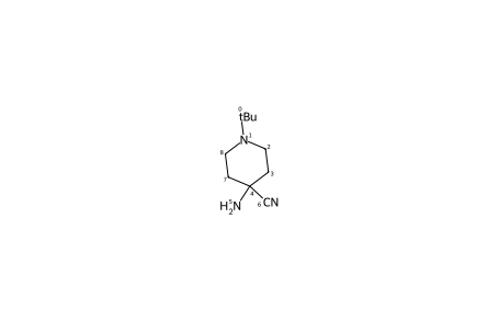 CC(C)(C)N1CCC(N)(C#N)CC1